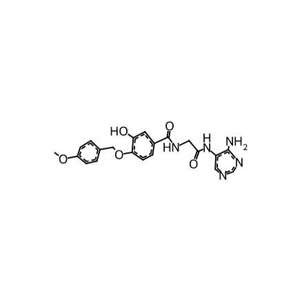 COc1ccc(COc2ccc(C(=O)NCC(=O)Nc3cncnc3N)cc2O)cc1